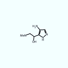 CNCC(O)c1[nH]ncc1N